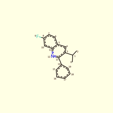 CC(C)c1cc2ccc(F)cc2nc1-c1ccccc1